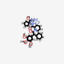 COc1cc(C(C(=O)N2CCCCC2C(=O)NC2(C(N)=O)CCCC2)C2CCCCC2)cc(OC)c1OC